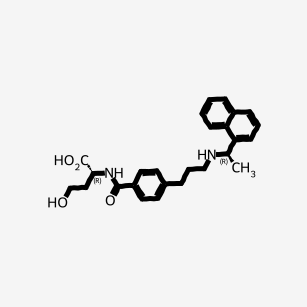 C[C@@H](NCCCc1ccc(C(=O)N[C@H](CCO)C(=O)O)cc1)c1cccc2ccccc12